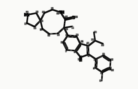 Cc1cc(-c2[nH]c3ccc(C4(C)CCCC5(CCNC5)CCNC4=O)cc3c2C(C)C)ccn1